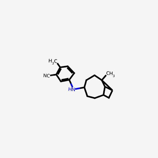 Cc1ccc(NC2CCC3CC4C3C4(C)CC2)cc1C#N